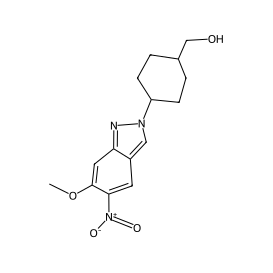 COc1cc2nn(C3CCC(CO)CC3)cc2cc1[N+](=O)[O-]